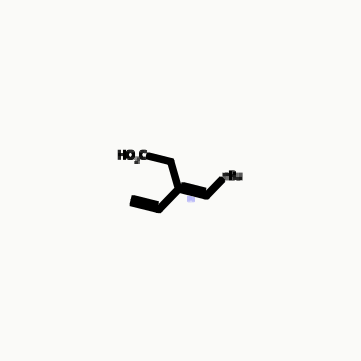 C=C/C(=C/CCCC)CC(=O)O